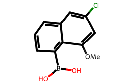 COc1cc(Cl)cc2cccc(B(O)O)c12